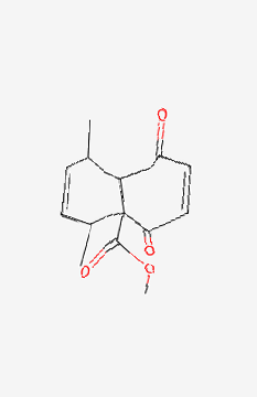 COC(=O)C12C(=O)C=CC(=O)C1C(C)C=CC2C